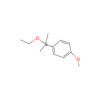 CCO[Si](C)(C)c1ccc(OC)cc1